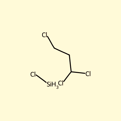 ClCCC(Cl)Cl.[SiH3]Cl